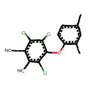 Cc1ccc(Oc2c(Cl)c(Cl)c(C#N)c(C#N)c2Cl)c(C)c1